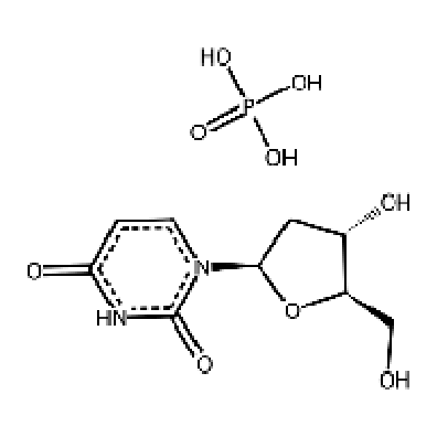 O=P(O)(O)O.O=c1ccn([C@H]2C[C@H](O)[C@@H](CO)O2)c(=O)[nH]1